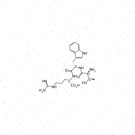 C[C@@H](O)[C@H](N)C(=O)N[C@@H](Cc1c[nH]c2ccccc12)C(=O)N[C@@H](CCCNC(=N)N)C(=O)O